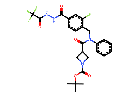 CC(C)(C)OC(=O)N1CC(C(=O)N(Cc2ccc(C(=O)NNC(=O)C(F)(F)F)cc2F)c2ccccc2)C1